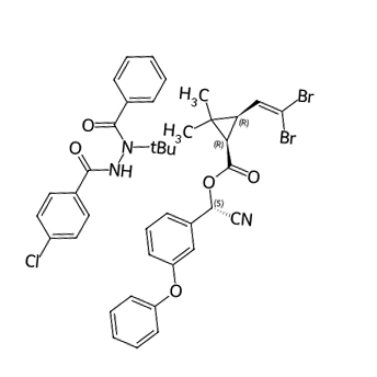 CC(C)(C)N(NC(=O)c1ccc(Cl)cc1)C(=O)c1ccccc1.CC1(C)[C@H](C(=O)O[C@H](C#N)c2cccc(Oc3ccccc3)c2)[C@@H]1C=C(Br)Br